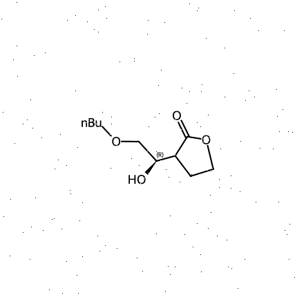 CCCCOC[C@H](O)C1CCOC1=O